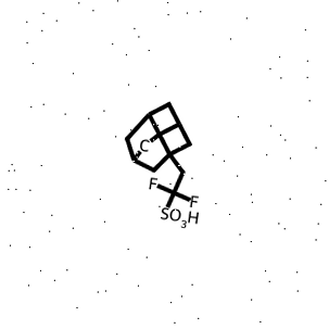 O=S(=O)(O)C(F)(F)CC12CC3CC4CC(C1)C42C3